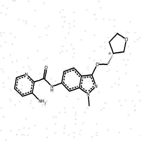 Cn1nc(OC[C@@H]2CCOC2)c2ccc(NC(=O)c3ncccc3N)cc21